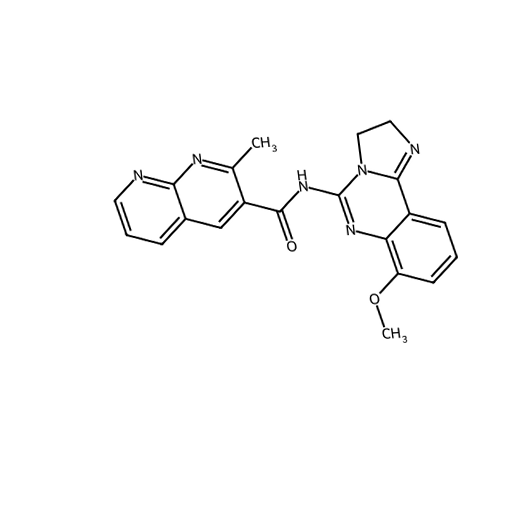 COc1cccc2c1N=C(NC(=O)c1cc3cccnc3nc1C)N1CCN=C21